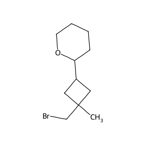 CC1(CBr)CC(C2CCCCO2)C1